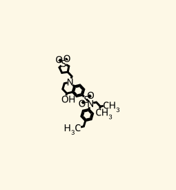 CCc1ccc(N(CC(C)C)S(=O)(=O)c2ccc3c(c2)C(O)CCN3CC2CCS(=O)(=O)C2)cc1